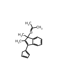 C[C](C)=[Zr][C]1(C)C(C)=C(C2=CC=CC2)c2ccccc21